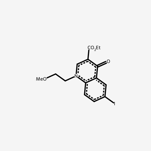 CCOC(=O)c1cn(CCOC)c2ccc(I)cc2c1=O